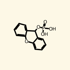 O=P(O)(O)OC1c2ccccc2Oc2ccccc21